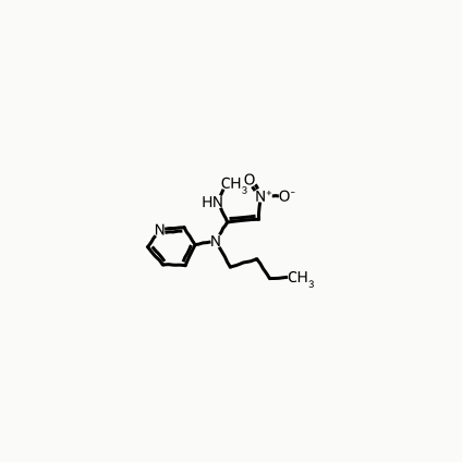 CCCCN(C(=C[N+](=O)[O-])NC)c1cccnc1